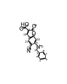 CN(Cc1ccccc1)c1cc2oc(=O)c(C(=O)O)cc2cc1C#N